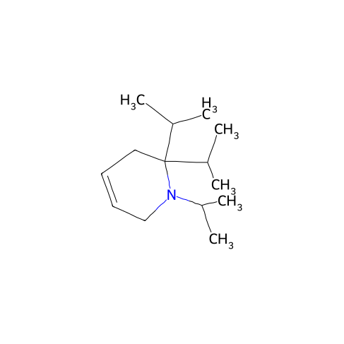 CC(C)N1CC=CCC1(C(C)C)C(C)C